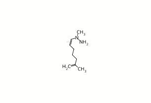 C=C(C)CCC/C=C\N(C)N